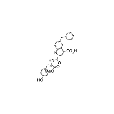 COC(=O)[C@H](Cc1ccc(O)cc1)NC(=O)c1cc(C(=O)O)c2cc(Cc3ccccc3)ccc2n1